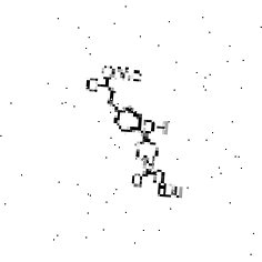 COC(=O)CCc1ccc(C2(O)CCN(C(=O)OC(C)(C)C)CC2)cc1